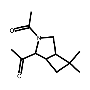 CC(=O)C1C2CC(C)(C)C2CN1C(C)=O